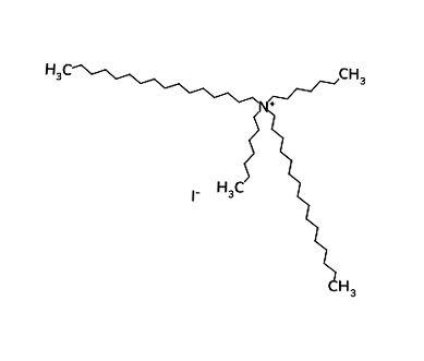 CCCCCCCCCCCCCCCC[N+](CCCCCCC)(CCCCCCC)CCCCCCCCCCCCCCCC.[I-]